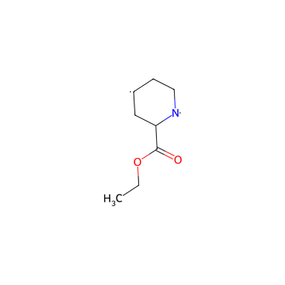 CCOC(=O)C1C[CH]CC[N]1